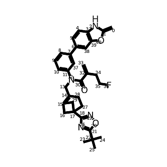 C=C1Nc2ccc(-c3cccc(N(CC4=C5CC(c6noc(C(C)(C)C)n6)(CC4)C5)C(=O)C(=C)CCF)c3)cc2O1